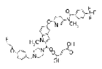 CN(C(=O)c1ccc(C(F)(F)F)cc1)c1ccc(Oc2ccc3c(c2)cc(C(=O)N2CCN(Cc4ccc(OCCF)cc4)CC2)n3C)nc1.O=C(O)C=CC(=O)O